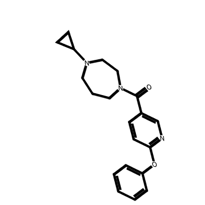 O=C(c1ccc(Oc2ccccc2)nc1)N1CCCN(C2CC2)CC1